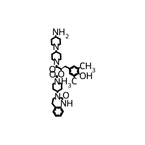 Cc1cc(C[C@@H](OC(=O)N2CCC(N3CCc4ccccc4NC3=O)CC2)C(=O)N2CCC(N3CCC(N)CC3)CC2)cc(C)c1O